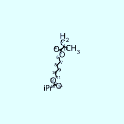 C=C(C)C(=O)OCCCCCCOC(=O)C(C)C